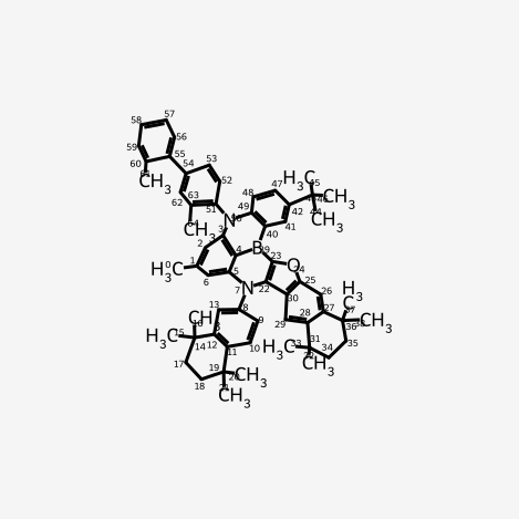 Cc1cc2c3c(c1)N(c1ccc4c(c1)C(C)(C)CCC4(C)C)c1c(oc4cc5c(cc14)C(C)(C)CCC5(C)C)B3c1cc(C(C)(C)C)ccc1N2c1ccc(-c2ccccc2C)cc1C